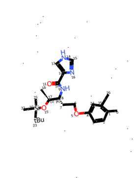 Cc1ccc(OCC[C@@H](NC(=O)c2c[nH]cn2)[C@H](C)O[Si](C)(C)C(C)(C)C)cc1C